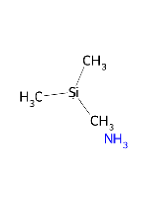 C[Si](C)C.N